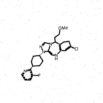 COCCC1C2=C(C=C(Cl)CC2)NC=C2N1C=NN2[C@H]1CC[C@H](c2ncccc2F)CC1